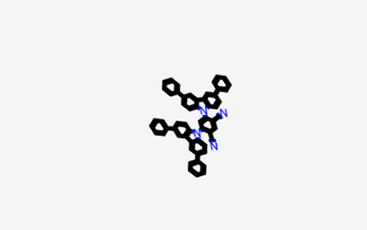 N#Cc1cc(C#N)c(-n2c3ccc(-c4ccccc4)cc3c3cc(-c4ccccc4)ccc32)cc1-n1c2ccc(-c3ccccc3)cc2c2cc(-c3ccccc3)ccc21